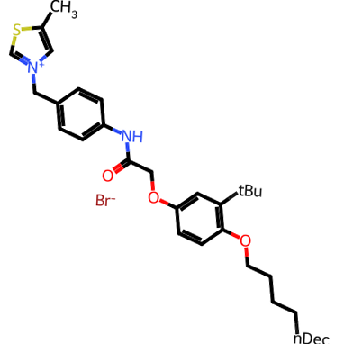 CCCCCCCCCCCCCCOc1ccc(OCC(=O)Nc2ccc(C[n+]3csc(C)c3)cc2)cc1C(C)(C)C.[Br-]